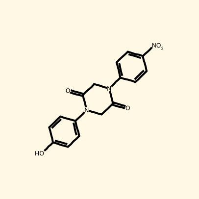 O=C1CN(c2ccc([N+](=O)[O-])cc2)C(=O)CN1c1ccc(O)cc1